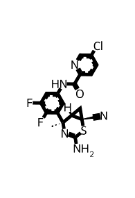 C[C@@]1(c2cc(NC(=O)c3ccc(Cl)cn3)cc(F)c2F)N=C(N)S[C@@]2(C#N)C[C@@H]12